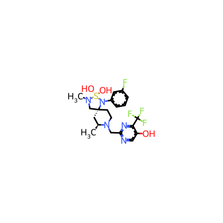 C[C@H]1C[C@]2(CCN1Cc1ncc(O)c(C(F)(F)F)n1)CN(C)S(O)(O)N2c1cccc(F)c1